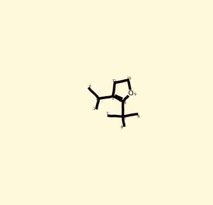 CC(C)C1=C(C(C)(C)C)OCC1